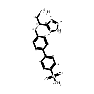 CS(=O)(=O)c1ccc(-c2ccc(C[C@H](CC(=O)O)c3nn[nH]n3)cc2)cc1